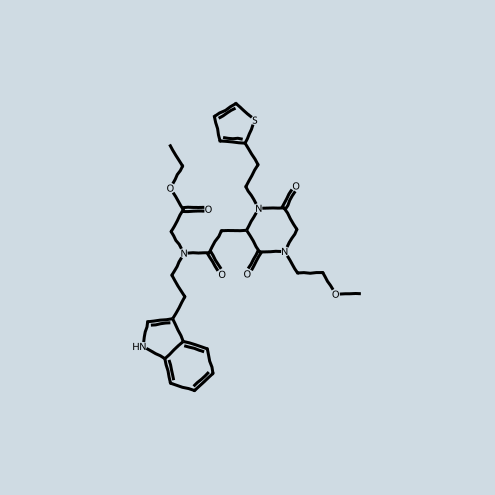 CCOC(=O)CN(CCc1c[nH]c2ccccc12)C(=O)CC1C(=O)N(CCOC)CC(=O)N1CCc1cccs1